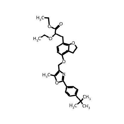 CCOC(=O)C(Cc1ccc(OCc2nc(-c3ccc(C(C)(C)C)cc3)oc2C)c2c1OCC2)OCC